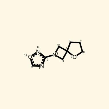 c1nc(N2CC3(CCCO3)C2)no1